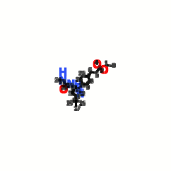 CCOC(=O)CCc1ccc(-n2nc(C(C)(C)C)cc2NC(=O)NC)cc1